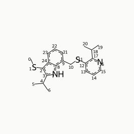 CSc1c(C(C)C)[nH]c2c(CSc3cccnc3C(C)C)cccc12